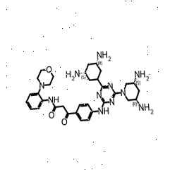 N[C@@H]1CC(c2nc(Nc3ccc(C(=O)CC(=O)Nc4ccccc4N4CCOCC4)cc3)nc(N3C[C@H](N)C[C@H](N)C3)n2)C[C@H](N)C1